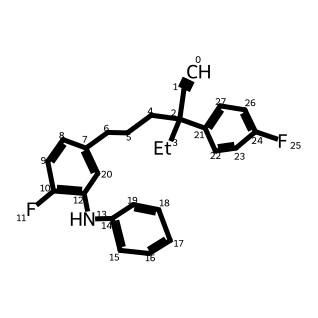 C#CC(CC)(CCCc1ccc(F)c(Nc2ccccc2)c1)c1ccc(F)cc1